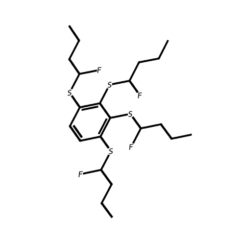 CCCC(F)Sc1ccc(SC(F)CCC)c(SC(F)CCC)c1SC(F)CCC